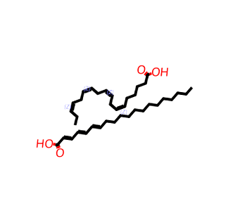 CC/C=C\C/C=C\C/C=C\C/C=C\CCCCC(=O)O.CCCCCCCCCCCCCC=CC=CC=CC(=O)O